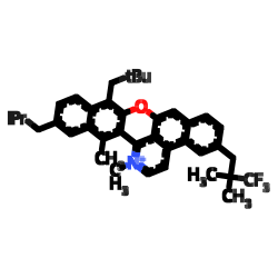 Cc1c2c(c(CC(C)(C)C)c3ccc(CC(C)C)cc13)Oc1cc3ccc(CC(C)(C)C(F)(F)F)cc3c3cc[n+](C)c-2c13